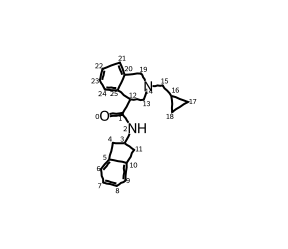 O=C(NC1Cc2ccccc2C1)C1CN(CC2CC2)Cc2ccccc21